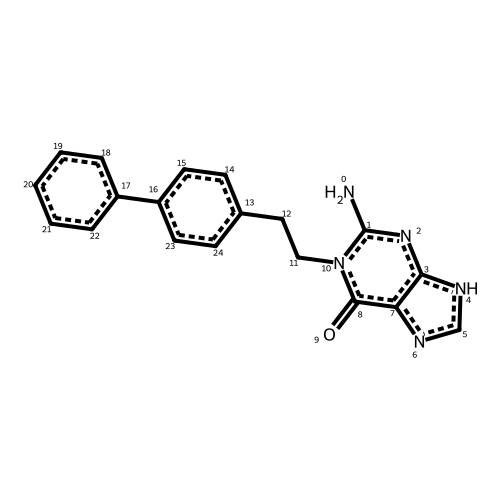 Nc1nc2[nH]cnc2c(=O)n1CCc1ccc(-c2ccccc2)cc1